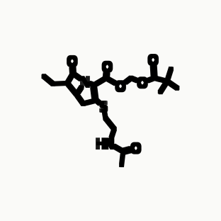 CCC1C(=O)N2C(C(=O)OCOC(=O)C(C)(C)C)=C(SCCNC(C)=O)CC12